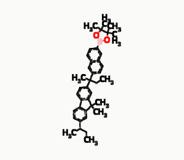 CCC(C)c1ccc2c(c1)C(C)(C)c1cc(C(C)(CC)c3ccc4cc(B5OC(C)(C)C(C)(C)O5)ccc4c3)ccc1-2